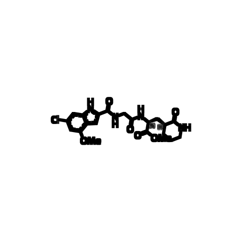 COC(=O)[C@H](C[C@@H]1CCCNC1=O)NC(=O)CNC(=O)c1cc2c(OC)cc(Cl)cc2[nH]1